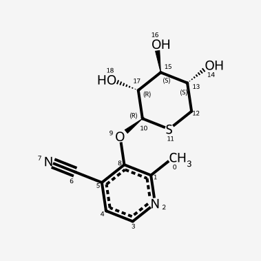 Cc1nccc(C#N)c1O[C@@H]1SC[C@@H](O)[C@H](O)[C@H]1O